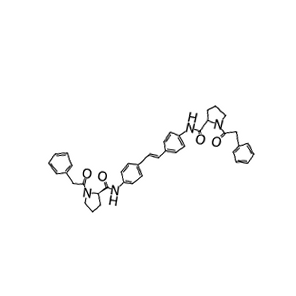 O=C(Nc1ccc(/C=C/c2ccc(NC(=O)[C@H]3CCCN3C(=O)Cc3ccccc3)cc2)cc1)C1CCCN1C(=O)Cc1ccccc1